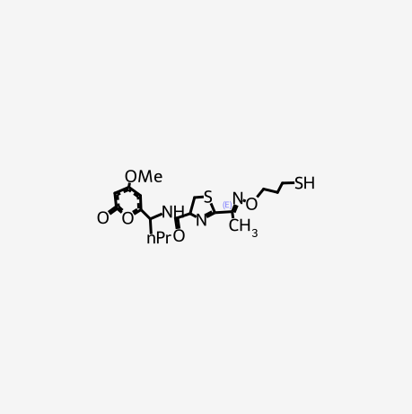 CCCC(NC(=O)C1CSC(/C(C)=N/OCCCS)=N1)c1cc(OC)cc(=O)o1